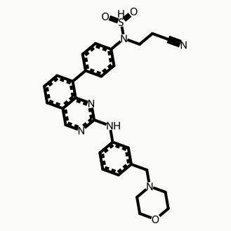 N#CCCN(c1ccc(-c2cccc3cnc(Nc4cccc(CN5CCOCC5)c4)nc23)cc1)[SH](=O)=O